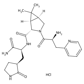 CC1(C)[C@@H]2[C@@H](C(=O)N[C@@H](C[C@@H]3CCNC3=O)C(N)=O)N(C(=O)[C@@H](N)Cc3ccccn3)C[C@@H]21.Cl